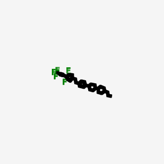 CCCC1CCC(C2CCC(c3ccc(CCc4cc(F)c(C#CC(F)(F)F)c(F)c4)cc3)CC2)CC1